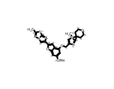 COc1cc(OCC2=CS3(C)C(=N2)C32CCOCC2)c2cc(-c3cn4nc(C)sc4n3)oc2c1